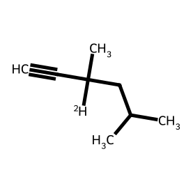 [2H]C(C)(C#C)CC(C)C